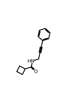 O=C(NCC#Cc1ccccc1)C1CCC1